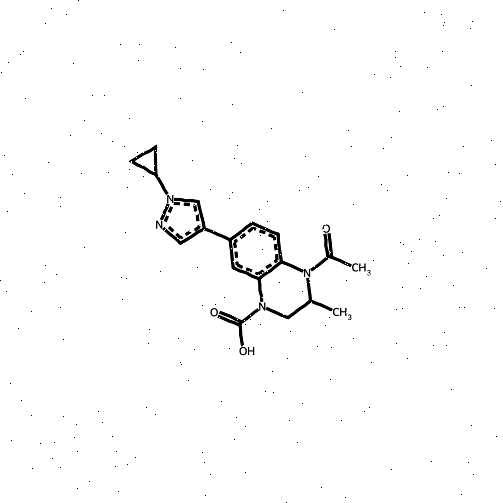 CC(=O)N1c2ccc(-c3cnn(C4CC4)c3)cc2N(C(=O)O)CC1C